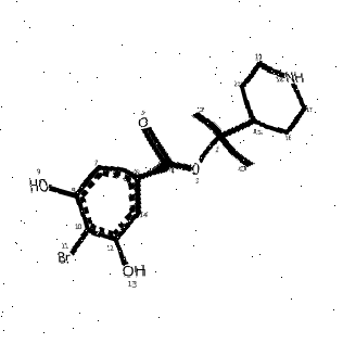 CC(C)(OC(=O)c1cc(O)c(Br)c(O)c1)C1CCNCC1